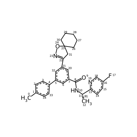 Cc1ccc(-c2cc(C(=O)N[C@H](C)c3ccc(F)cn3)cc(C3=NOC4(CCCCC4)C3)c2)cc1